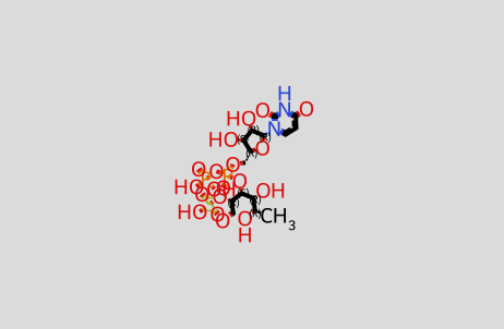 C[C@@H](O)[C@@H](O)[C@H](OP(=O)(OC[C@H]1O[C@@H](n2ccc(=O)[nH]c2=O)[C@H](O)[C@@H]1O)OP(=O)(O)O)[C@H](C=O)OS(=O)(=O)O